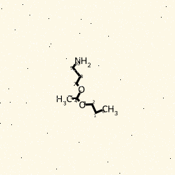 CCCOC(C)OCCCN